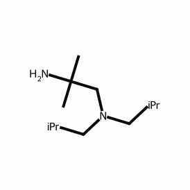 CC(C)CN(CC(C)C)CC(C)(C)N